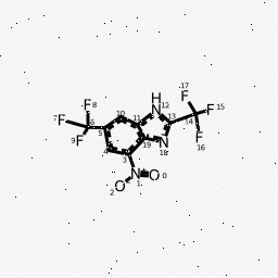 O=[N+]([O-])c1cc(C(F)(F)F)cc2[nH]c(C(F)(F)F)nc12